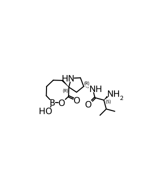 CC(C)[C@H](N)C(=O)N[C@H]1CN[C@]2(CCCCB(O)OC2=O)C1